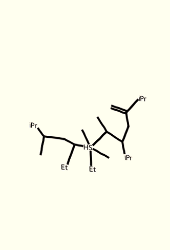 C=C(CC(C(C)C)C(C)[SH](C)(C)(CC)C(CC)CC(C)C(C)C)C(C)C